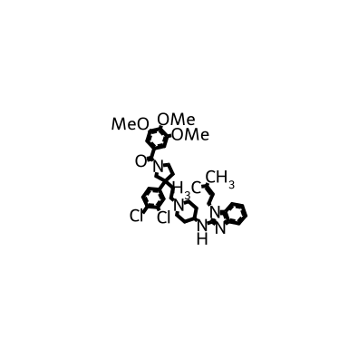 COc1cc(C(=O)N2CCC(CCN3CCC(Nc4nc5ccccc5n4CC=C(C)C)CC3)(c3ccc(Cl)c(Cl)c3)C2)cc(OC)c1OC